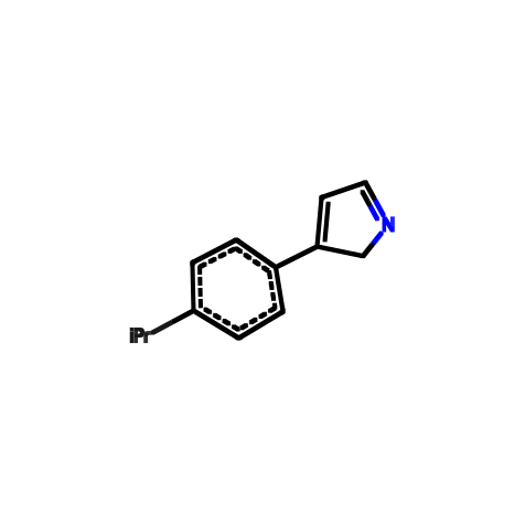 CC(C)c1ccc(C2=CC=NC2)cc1